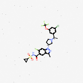 Cc1nn([C@@H]2CCN([C@H](C)c3cc(Cl)cc(OC(F)(F)F)c3)C2)c2cc(F)c(C(=O)NS(=O)(=O)C3CC3)cc12